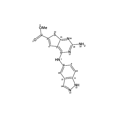 COC(=O)c1cc2c(Nc3ccc4[nH]ncc4c3)nc(N)nc2s1